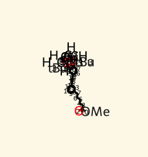 COC(=O)CCCCCc1cccc(C#Cc2ccc(C(O[SiH](C)C)C(C)(C)C)c(C(O[SiH](C)C)C(C)(C)C)c2)c1